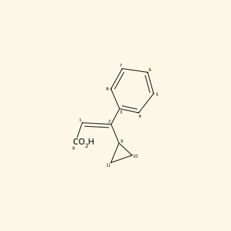 O=C(O)C=C(c1ccccc1)C1CC1